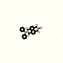 CC(C)N1C(=O)c2ccc3c4c(ccc(c24)C1=O)C(=O)N(N(c1ccccc1)c1ccccc1)C3=O